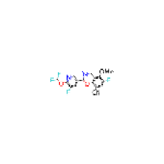 COc1c(F)cc(C#N)cc1CN(C)C(=O)c1cnc(OC(F)F)c(F)c1